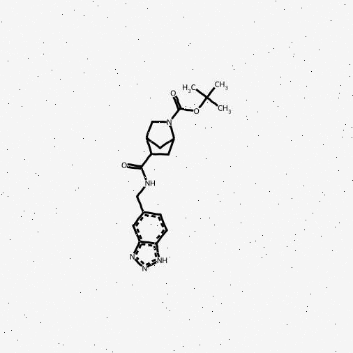 CC(C)(C)OC(=O)N1CC2CC1CC2C(=O)NCc1ccc2[nH]nnc2c1